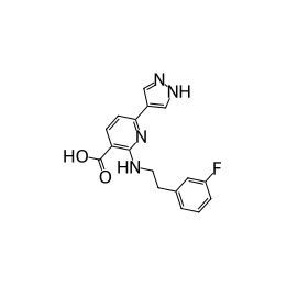 O=C(O)c1ccc(-c2cn[nH]c2)nc1NCCc1cccc(F)c1